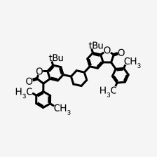 Cc1ccc(C)c(C2C(=O)Oc3c2cc(C2CCCC(c4cc5c(c(C(C)(C)C)c4)OC(=O)C5c4cc(C)ccc4C)C2)cc3C(C)(C)C)c1